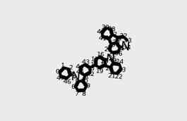 c1ccc(-n2c3ccccc3c3cc(-c4ccc5c(c4)c4ccccc4n5-c4cc5c6c(ccnc6c4)-c4ccccc4-5)ccc32)cc1